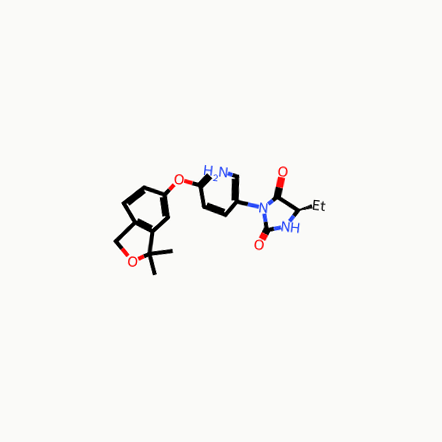 C=C(/C=C\C(=C/N)N1C(=O)N[C@H](CC)C1=O)Oc1ccc2c(c1)C(C)(C)OC2